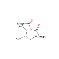 CC(=O)OCC(COC(C)=O)OC(C)=O.CCCCCCCC(=O)OC(=O)CCCCCCC